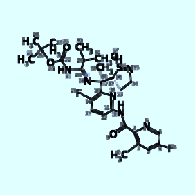 Cc1cc(F)cnc1C(=O)Nc1ccc(F)c([C@@](C)(/N=C(/NC(=O)OC(C)(C)C)C(C)C)[C@H]2CCN=[SH]2=O)n1